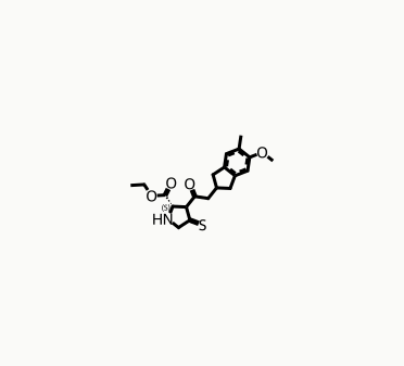 CCOC(=O)[C@H]1NCC(=S)C1C(=O)CC1Cc2cc(C)c(OC)cc2C1